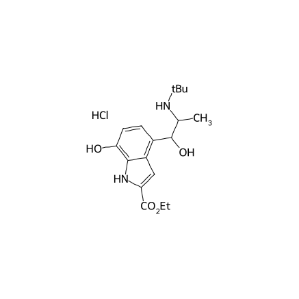 CCOC(=O)c1cc2c(C(O)C(C)NC(C)(C)C)ccc(O)c2[nH]1.Cl